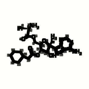 CC(C)[C@H](N)C(=O)OC[C@H]1O[C@@](C)(c2ccc3c(N)ncnn23)[C@H](O)[C@@H]1OC(=O)CC1CCCCC1